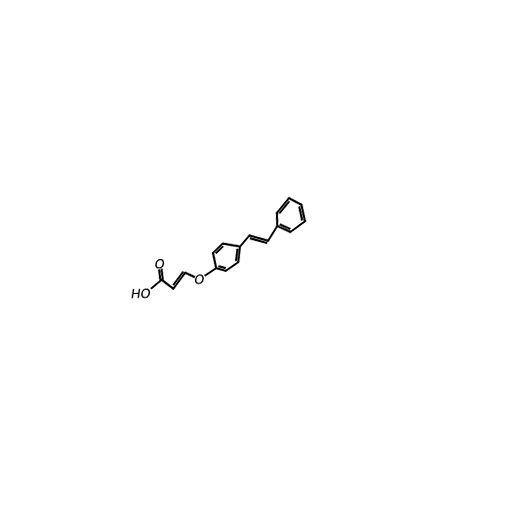 O=C(O)/C=C/Oc1ccc(C=Cc2ccccc2)cc1